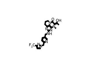 C/C(O)=C1/C(=O)N2CCCc3nc(NCc4ccc(Cn5ccc(C(F)(F)F)n5)nc4)nc(c32)N1C